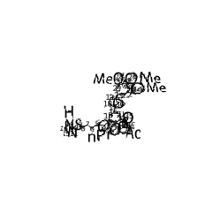 CCCOc1c(OCCCCSc2ncc[nH]2)cc(C2CCC(c3cc(OC)c(OC)c(OC)c3)O2)cc1S(=O)(=O)CC(C)=O